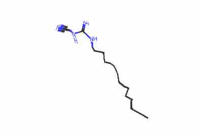 CCCCCCCCCCNC(=N)NC#N